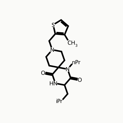 CCCN1C(=O)C(CC(C)C)NC(=O)C12CCN(Cc1sccc1C)CC2